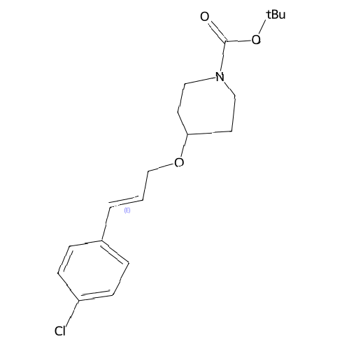 CC(C)(C)OC(=O)N1CCC(OC/C=C/c2ccc(Cl)cc2)CC1